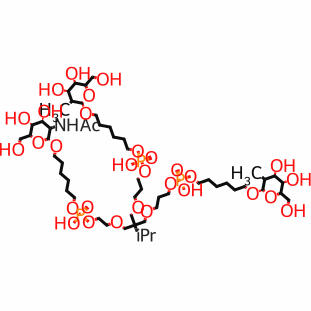 CC(=O)NC1[C@H](OCCCCCCOP(=O)(O)OCCOCC(COCCCOP(=O)(O)OCCCCCCO[C@@H]2OC(CO)[C@H](O)[C@H](O)C2C)(COCCCOP(=O)(O)OCCCCCCO[C@@H]2OC(CO)[C@H](O)[C@H](O)C2C)C(C)C)OC(CO)[C@H](O)[C@@H]1O